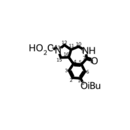 CC(C)COc1ccc2c(c1)C(=O)NCC1CN(C(=O)O)CC21